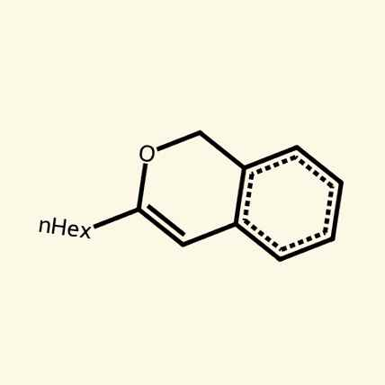 [CH2]CCCCCC1=Cc2ccccc2CO1